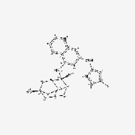 Cc1cc(Nc2cc3ncccc3c(N[C@H]3C4CC5CC3C[C@](O)(C5)C4)n2)n[nH]1